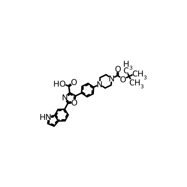 CC(C)(C)OC(=O)N1CCN(c2ccc(-c3oc(-c4ccc5cc[nH]c5c4)nc3C(=O)O)cc2)CC1